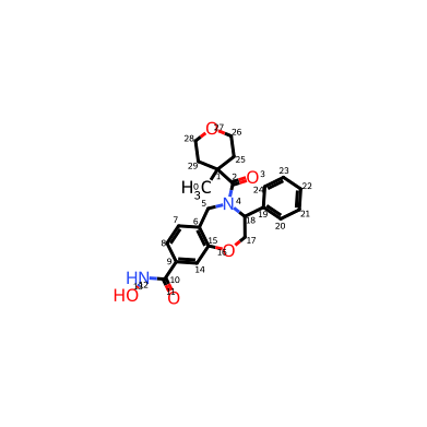 CC1(C(=O)N2Cc3ccc(C(=O)NO)cc3OCC2c2ccccc2)CCOCC1